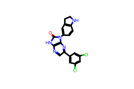 O=c1[nH]c2ncc(-c3cc(Cl)cc(Cl)c3)nc2n1-c1ccc2c(c1)CCN2